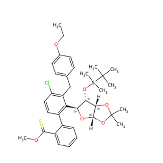 CCOc1ccc(Cc2c(Cl)ccc(-c3ccccc3C(=S)OC)c2[C@@H]2O[C@H]3OC(C)(C)O[C@H]3[C@H]2O[Si](C)(C)C(C)(C)C)cc1